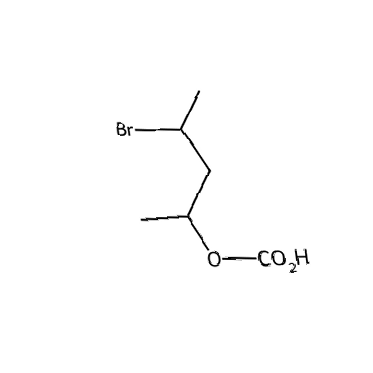 CC(Br)CC(C)OC(=O)O